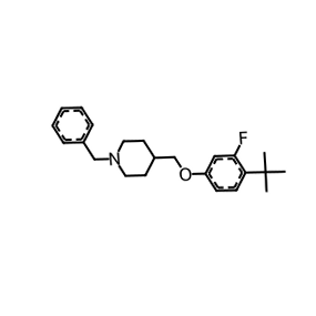 CC(C)(C)c1ccc(OCC2CCN(Cc3ccccc3)CC2)cc1F